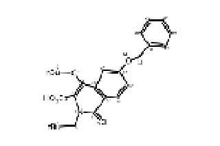 CCCCOc1c(C(=O)O)n(CC(C)(C)C)c(=O)c2ccc(OCc3ccccc3)cc12